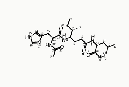 CC[C@H](C)[C@@H](CCC(=O)N[C@@H](CC(C)C)C(N)=O)NC(=O)[C@H](Cc1c[nH]cn1)NC(C)=O